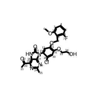 COc1cccc(F)c1COc1cc(-n2c(=O)[nH]c3c(C(C)=O)nc(C)nc32)c(Cl)cc1OCCO